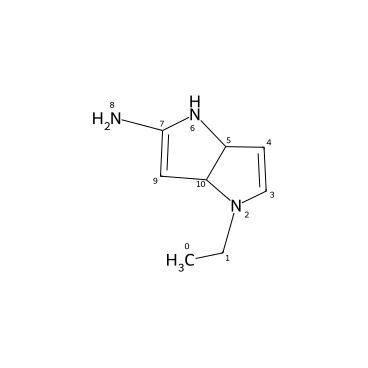 CCN1C=CC2NC(N)=CC21